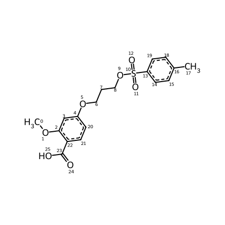 COc1cc(OCCCOS(=O)(=O)c2ccc(C)cc2)ccc1C(=O)O